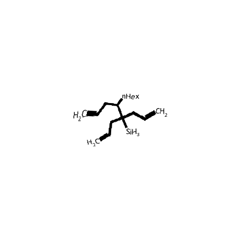 C=CCC(CCCCCC)C([SiH3])(CC=C)CC=C